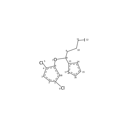 Clc1ccc(Cl)c(OC(CCCI)c2cccs2)c1